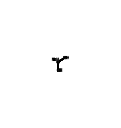 OOO.[NaH]